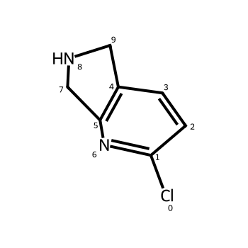 Clc1ccc2c(n1)CNC2